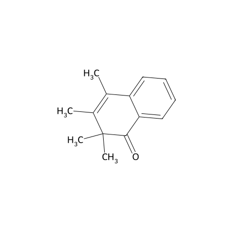 CC1=C(C)C(C)(C)C(=O)c2ccccc21